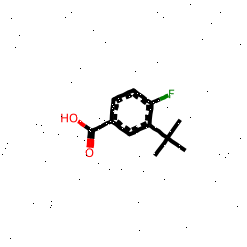 CC(C)(C)c1cc(C(=O)O)ccc1F